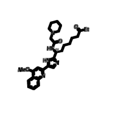 CCC(=O)CCCCC[C@H](NC(=O)CN1CCCCC1)c1ncc(-c2cc(OC)c3ccccc3n2)[nH]1